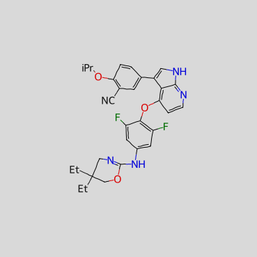 CCC1(CC)CN=C(Nc2cc(F)c(Oc3ccnc4[nH]cc(-c5ccc(OC(C)C)c(C#N)c5)c34)c(F)c2)OC1